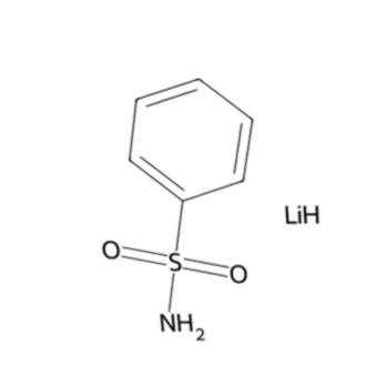 NS(=O)(=O)c1ccccc1.[LiH]